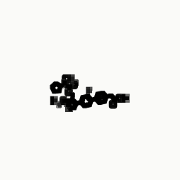 CN(C(=O)OCc1c(-c2ccc(C34CCC(CC(=O)O)(CC3)OC4)c(F)c2)cnn1C)C1CCCC1